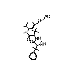 CNC(C(=O)NC(C(=O)N(C)[C@H](/C=C(\C)COCC=O)C(C)C)C(C)(C)C)C(C)(C)c1ccccc1